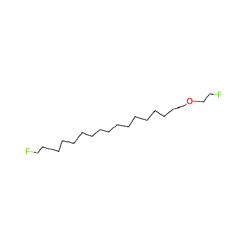 FCCCCCCCCCCCCCCCCCOCCF